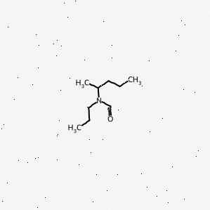 CCCC(C)N(C=O)CCC